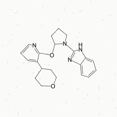 c1cnc(OC2CCCN2c2nc3ccccc3[nH]2)c(C2CCOCC2)c1